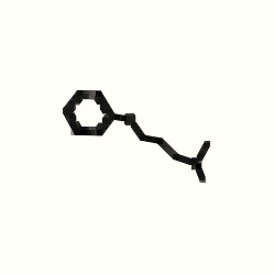 CN(C)CCCOc1c[c]ccc1